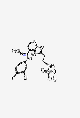 CS(=O)(=O)NCCc1nc2nccc(/C(=N\O)Nc3ccc(F)c(Cl)c3)c2[nH]1